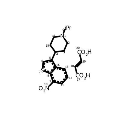 CC(C)N1CCC(c2csc3c([N+](=O)[O-])cccc23)CC1.O=C(O)C=CC(=O)O